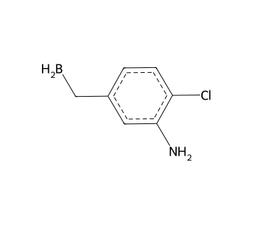 BCc1ccc(Cl)c(N)c1